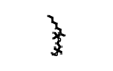 CCCCCCB(C)C(C)(C)OCCC(C)(C)OC